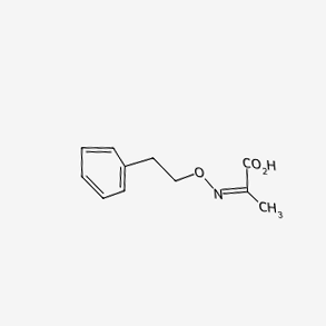 C/C(=N/OCCc1ccccc1)C(=O)O